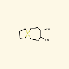 N#CC1CCS2(CCCC2)CCC1C#N